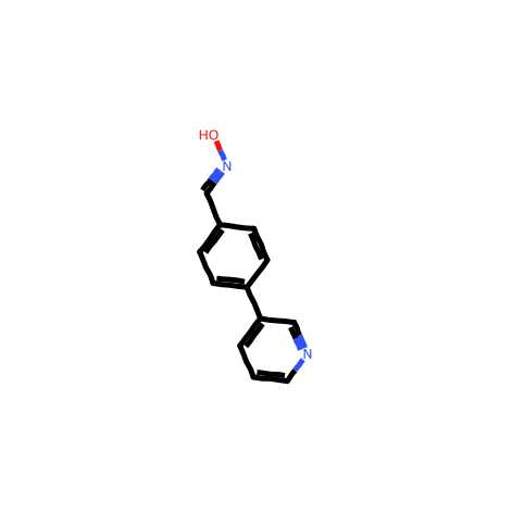 ON=Cc1ccc(-c2cccnc2)cc1